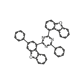 c1ccc(-c2cc(-c3nc(-c4ccccc4)nc(-c4cccc5oc6ccccc6c45)n3)c3c(c2)oc2ccccc23)cc1